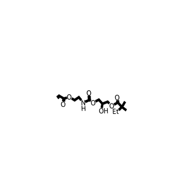 C=CC(=O)OCCNC(=O)OCC(O)COC(=O)C(C)(C)CC